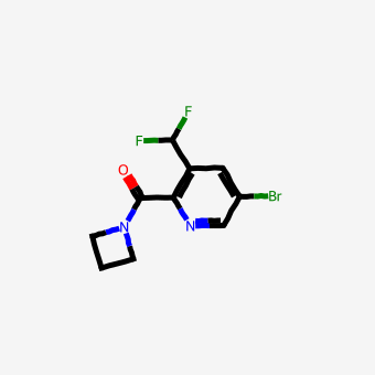 O=C(c1ncc(Br)cc1C(F)F)N1CCC1